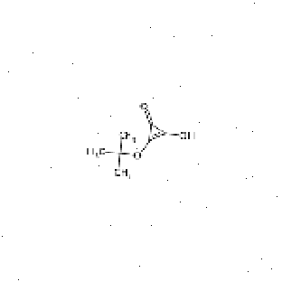 CC(C)(C)Oc1c(O)c1=O